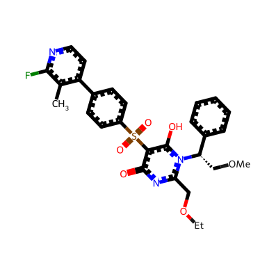 CCOCc1nc(=O)c(S(=O)(=O)c2ccc(-c3ccnc(F)c3C)cc2)c(O)n1[C@@H](COC)c1ccccc1